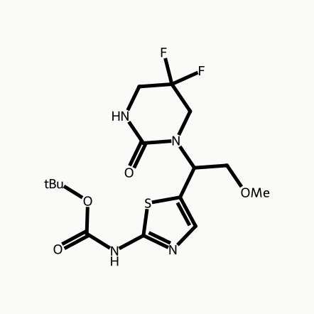 COCC(c1cnc(NC(=O)OC(C)(C)C)s1)N1CC(F)(F)CNC1=O